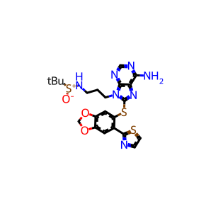 CC(C)(C)[S+]([O-])NCCCn1c(Sc2cc3c(cc2-c2nccs2)OCO3)nc2c(N)ncnc21